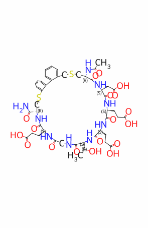 CC(=O)N[C@H]1CSCc2ccccc2-c2ccccc2SC[C@@H](C(N)=O)NC(=O)[C@H](CCC(=O)O)NC(=O)CNC(=O)[C@H]([C@@H](C)O)NC(=O)[C@H](CCC(=O)O)NC(=O)[C@H](CCC(=O)O)NC(=O)[C@H](CC(=O)O)NC1=O